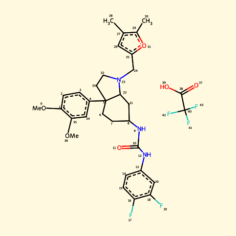 COc1ccc(C23CCC(NC(=O)Nc4ccc(F)c(F)c4)CC2N(Cc2cc(C)c(C)o2)CC3)cc1OC.O=C(O)C(F)(F)F